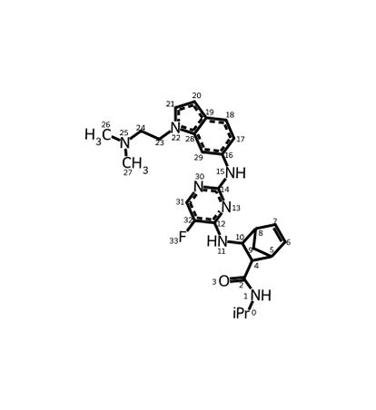 CC(C)NC(=O)C1C2C=CC(C2)C1Nc1nc(Nc2ccc3ccn(CCN(C)C)c3c2)ncc1F